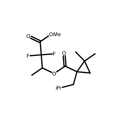 COC(=O)C(F)(F)C(C)OC(=O)C1(CC(C)C)CC1(C)C